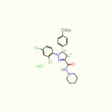 COc1ccc([C@@H]2[C@H](C)C(C(=O)NN3CCCCC3)=NN2c2ccc(Cl)cc2Cl)cc1.Cl